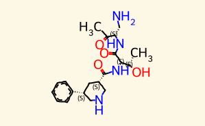 CC(=O)[C@H](CN)NC(=O)[C@@H](NC(=O)[C@@H]1CNC[C@H](c2ccccc2)C1)[C@H](C)O